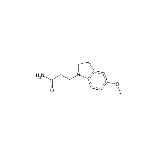 COc1ccc2c(c1)CCN2CCC(N)=O